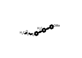 C=CC(=O)OCCCOc1ccc(C#CC2=CC=C(C#Cc3ccc(OC)cc3)CC2C)cc1